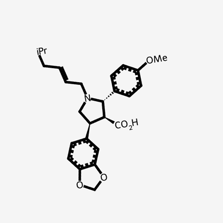 COc1ccc([C@@H]2[C@@H](C(=O)O)[C@@H](c3ccc4c(c3)OCO4)CN2C/C=C/CC(C)C)cc1